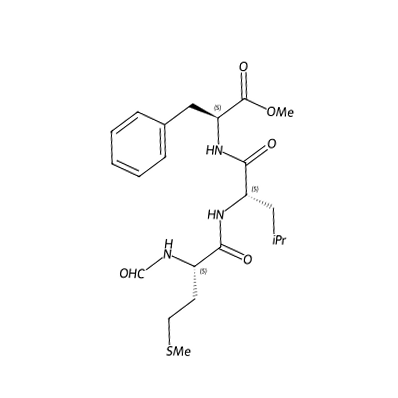 COC(=O)[C@H](Cc1ccccc1)NC(=O)[C@H](CC(C)C)NC(=O)[C@H](CCSC)NC=O